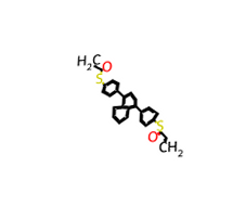 C=CC(=O)Sc1ccc(-c2ccc(-c3ccc(SC(=O)C=C)cc3)c3ccccc23)cc1